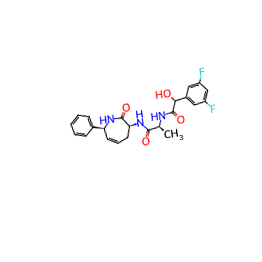 C[C@H](NC(=O)[C@@H](O)c1cc(F)cc(F)c1)C(=O)N[C@H]1CC=C[C@@H](c2ccccc2)NC1=O